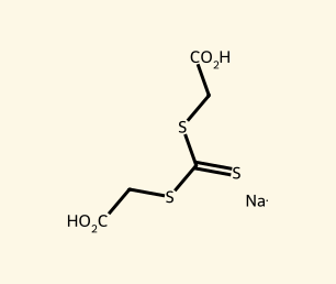 O=C(O)CSC(=S)SCC(=O)O.[Na]